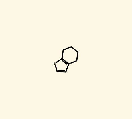 [C]1CCCc2ccsc21